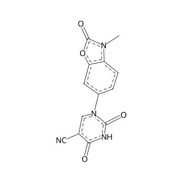 Cn1c(=O)oc2cc(-n3cc(C#N)c(=O)[nH]c3=O)ccc21